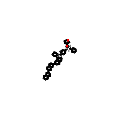 c1ccc(-c2nc(-c3ccccc3)nc(-c3ccc(-n4c5ccccc5c5c6cc(-c7ccc8ccc(-c9ccc%10ccccc%10c9)cc8c7)ccc6ccc54)cc3)n2)cc1